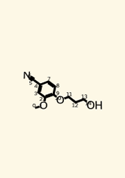 COc1cc(C#N)ccc1OCCCO